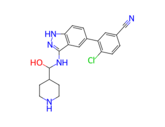 N#Cc1ccc(Cl)c(-c2ccc3[nH]nc(NC(O)C4CCNCC4)c3c2)c1